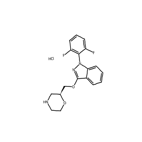 Cl.Fc1cccc(F)c1-n1nc(OC[C@@H]2CNCCO2)c2ccccc21